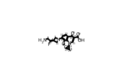 COc1c(N2CC(=C(F)CN)C2)ccc2c(=O)c(C(=O)O)cn(C3CC3)c12